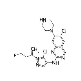 C=C(CCF)n1ncc(Nc2ncc3cc(Cl)c(N4CCNCC4)cc3n2)c1Cl